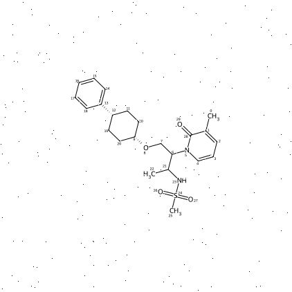 Cc1cccn(C(CO[C@H]2CC[C@@H](c3ccccc3)CC2)C(C)NS(C)(=O)=O)c1=O